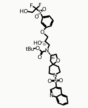 CC(C)(C)OC(=O)N(C[C@H](O)COc1cccc(S(=O)(=O)C(F)(F)CO)c1)[C@H]1COC2(CCN(S(=O)(=O)c3cnc4ccccc4c3)CC2)C1